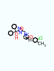 Cc1ccc(O[C@H]2C[N+]3(Cc4nc(C(O)(c5ccccc5)c5ccccc5)no4)CCC2CC3)cc1Cl